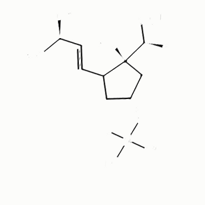 CCCCC[C@@H](/C=C/C1C[C@@H](O[Si](C)(C)C(C)(C)C)C[C@@]1(OC(C)=O)[C@H](CC)C(=O)O)OC(C)=O